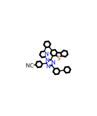 N#Cc1ccc(-c2nc(-c3cccc(-c4ccccc4)c3)nc(-c3cc(-c4ccccc4-c4ccccn4)cc4c3sc3ccccc34)n2)cc1